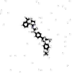 CNc1nc(-c2ccc(NC(=O)/N=C3\SCC(=O)N3c3ccccc3C(C)C)cc2)nn1-c1ccc(OC(F)(F)F)cc1